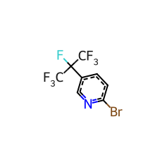 FC(F)(F)C(F)(c1ccc(Br)nc1)C(F)(F)F